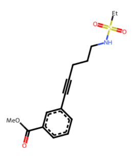 CCS(=O)(=O)NCCCC#Cc1cccc(C(=O)OC)c1